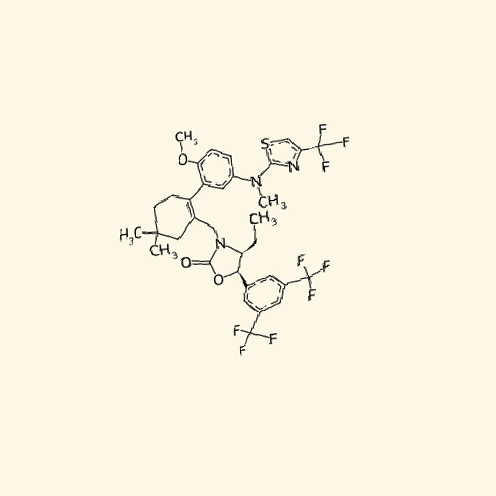 CC[C@H]1[C@@H](c2cc(C(F)(F)F)cc(C(F)(F)F)c2)OC(=O)N1CC1=C(c2cc(N(C)c3nc(C(F)(F)F)cs3)ccc2OC)CCC(C)(C)C1